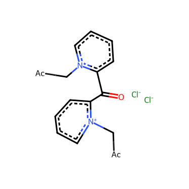 CC(=O)C[n+]1ccccc1C(=O)c1cccc[n+]1CC(C)=O.[Cl-].[Cl-]